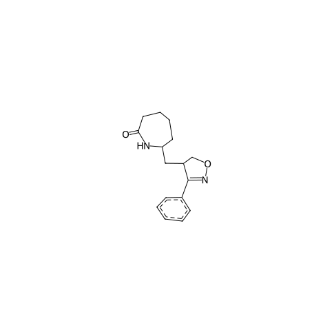 O=C1CCCCC(CC2CON=C2c2ccccc2)N1